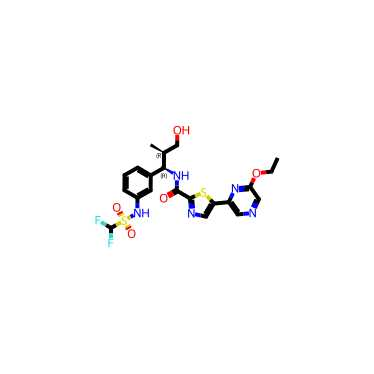 CCOc1cncc(-c2cnc(C(=O)N[C@@H](c3cccc(NS(=O)(=O)C(F)F)c3)[C@@H](C)CO)s2)n1